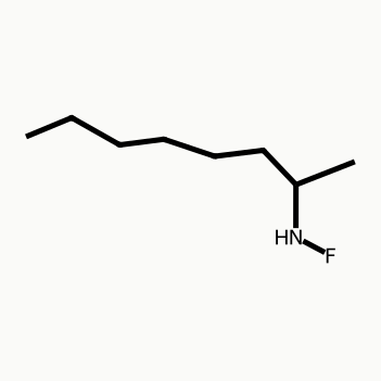 CCCCCCC(C)NF